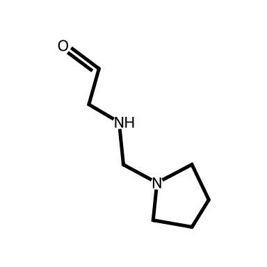 O=CCNCN1CCCC1